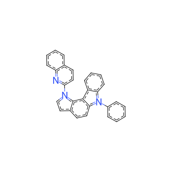 c1ccc(-n2c3ccccc3c3c4c(ccc32)ccn4-c2ccc3ccccc3n2)cc1